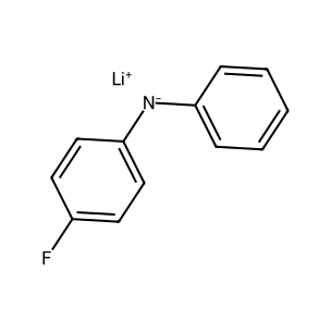 Fc1ccc([N-]c2ccccc2)cc1.[Li+]